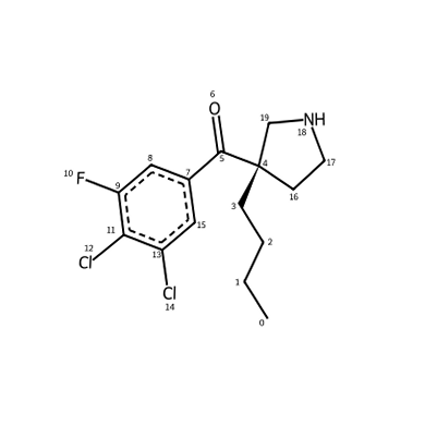 CCCC[C@]1(C(=O)c2cc(F)c(Cl)c(Cl)c2)CCNC1